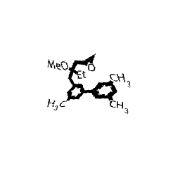 CCC(Cc1cc(C)cc(-c2cc(C)cc(C)c2)c1)(CC1CO1)OC